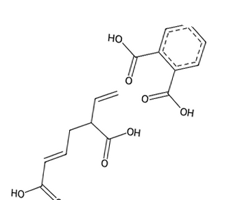 C=CC(C/C=C/C(=O)O)C(=O)O.O=C(O)c1ccccc1C(=O)O